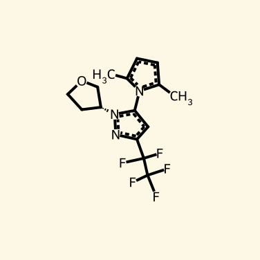 Cc1ccc(C)n1-c1cc(C(F)(F)C(F)(F)F)nn1[C@@H]1CCOC1